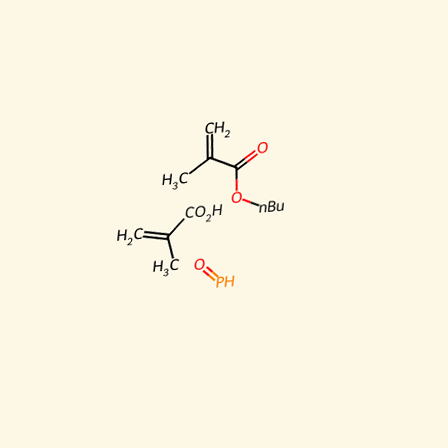 C=C(C)C(=O)O.C=C(C)C(=O)OCCCC.O=P